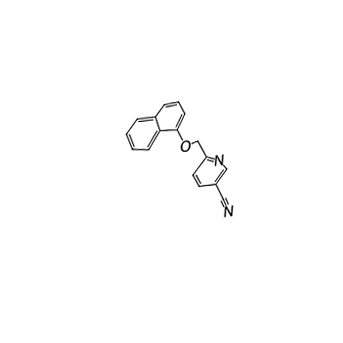 N#Cc1ccc(COc2cccc3ccccc23)nc1